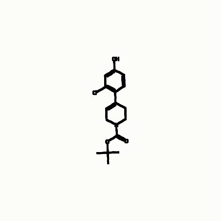 CC(C)(C)OC(=O)N1CC=C(c2ccc(O)cc2Cl)CC1